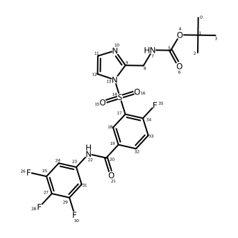 CC(C)(C)OC(=O)NCc1nccn1S(=O)(=O)c1cc(C(=O)Nc2cc(F)c(F)c(F)c2)ccc1F